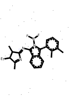 CCC1C(C)=N/C(=N\c2c3ccccc3c(-c3cccc(C)c3C)n2B(F)F)C1C